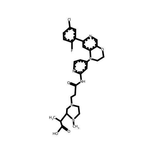 CC(C(=O)O)C1CN(CCC(=O)Nc2cc(N3CCOc4cnc(-c5cc(Cl)ccc5F)cc43)ccn2)CCN1C